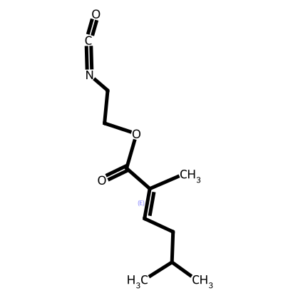 C/C(=C\CC(C)C)C(=O)OCCN=C=O